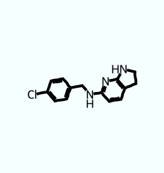 Clc1ccc(CNc2ccc3c(n2)NCC3)cc1